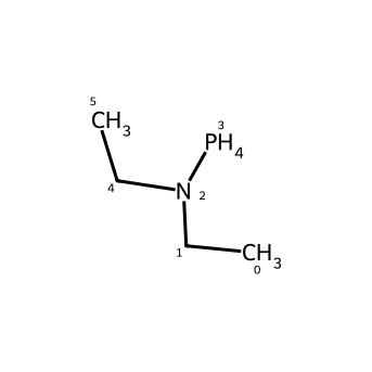 CCN([PH4])CC